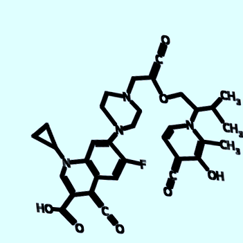 CC1=C(O)C(=C=O)C=CN1C(COC(=C=O)CN1CCN(c2cc3c(cc2F)C(=C=O)C(C(=O)O)=CN3C2CC2)CC1)C(C)C